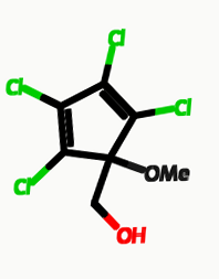 COC1(CO)C(Cl)=C(Cl)C(Cl)=C1Cl